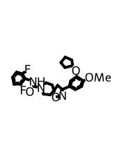 COc1ccc(C2=NOC3(CCN(C(=O)Nc4c(F)cccc4F)CC3)C2)cc1OC1CCCC1